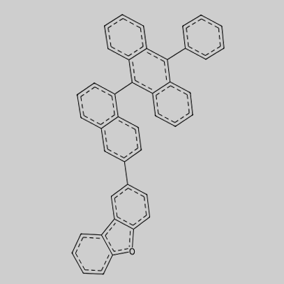 c1ccc(-c2c3ccccc3c(-c3cccc4cc(-c5ccc6oc7ccccc7c6c5)ccc34)c3ccccc23)cc1